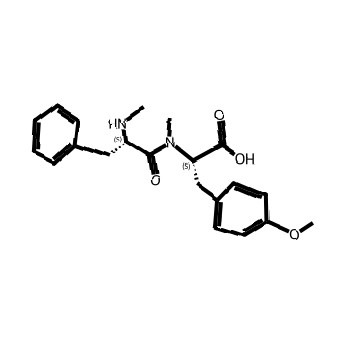 CN[C@@H](Cc1ccccc1)C(=O)N(C)[C@@H](Cc1ccc(OC)cc1)C(=O)O